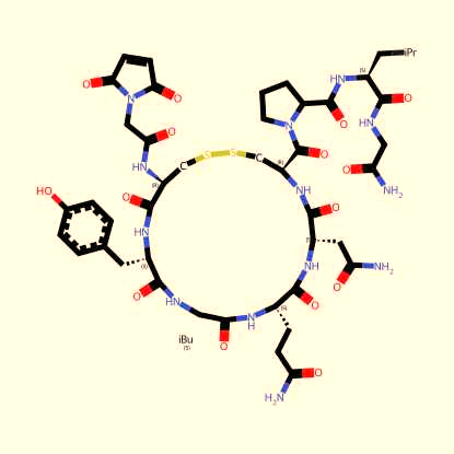 CC[C@H](C)C1NC(=O)[C@H](Cc2ccc(O)cc2)NC(=O)[C@@H](NC(=O)CN2C(=O)C=CC2=O)CSSC[C@@H](C(=O)N2CCCC2C(=O)N[C@@H](CC(C)C)C(=O)NCC(N)=O)NC(=O)[C@H](CC(N)=O)NC(=O)[C@H](CCC(N)=O)NC1=O